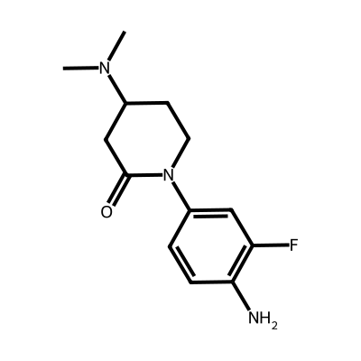 CN(C)C1CCN(c2ccc(N)c(F)c2)C(=O)C1